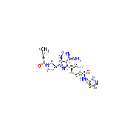 CC#CC(=O)N1CCC(n2nc(-c3ccc(C(=O)Nc4cncs4)cc3)c3c(N)ncnc32)C1